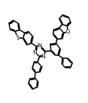 c1ccc(-c2ccc(-c3nc(-c4cc(-c5ccccc5)cc(-c5ccc6c(c5)oc5ccccc56)c4)nc(-c4ccc5c(c4)sc4ccccc45)n3)cc2)cc1